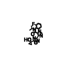 CC(C)n1c(=O)c2c(-c3noc(C4(O)CC4)n3)ncn2c2cccc(F)c21